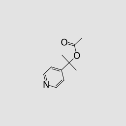 CC(=O)OC(C)(C)c1ccncc1